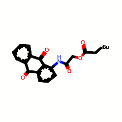 CCC(C)CC(=O)OCC(=O)Nc1cccc2c1C(=O)c1ccccc1C2=O